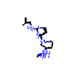 CNC1CCN(c2ccnc(NCC(C)C)n2)C1